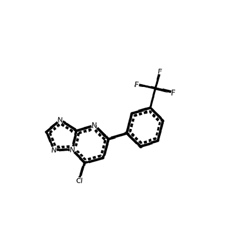 FC(F)(F)c1cccc(-c2cc(Cl)n3ncnc3n2)c1